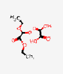 CCOC(=O)C(=O)OCC.O=C(O)C(=O)O